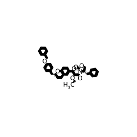 CCO[C@H](C(=O)N1C(=O)OC[C@@H]1Cc1ccccc1)[C@H](O)c1ccc2c(c1)C=C[C@@H](Cc1ccc(OCc3ccccc3)cc1)O2